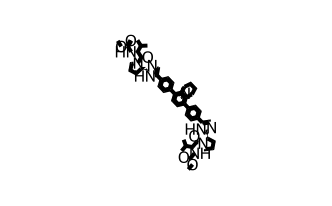 COC(=O)N[C@H](C(=O)N1CCC[C@H]1c1ncc(-c2ccc(-c3ccc(-c4ccc(-c5cnc([C@@H]6CCCN6C(=O)[C@@H](NC(=O)OC)C(C)C)[nH]5)cc4)c4c3C3CCC4N3C)cc2)[nH]1)C(C)C